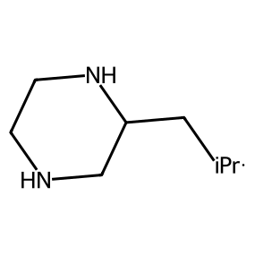 C[C](C)CC1CNCCN1